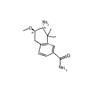 CO[C@@H]1Cc2ccc(C(N)=O)cc2C(C)(C)[C@H]1N